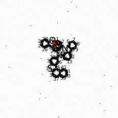 c1ccc(-n2c3ccccc3c3cccc(N(c4ccc5oc6ccccc6c5c4)c4ccc5sc6ccc7ccccc7c6c5c4)c32)cc1